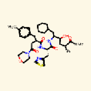 CNC(=O)C(CC(O)C(CC1CCCCC1)NC(=O)[C@H](Cc1cscn1)NC(=O)C(CC(=O)N1CCOCC1)Cc1ccc(OC)cc1)C(C)C